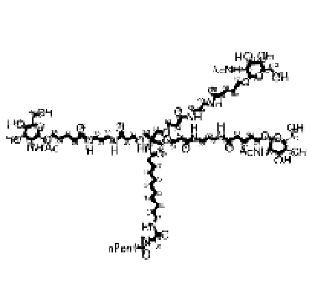 CCCCCC(=O)N[C@@H](C)C(=O)NCCCCCCCCCCC(=O)NC(COCCC(=O)NCCCNC(=O)CCCCO[C@@H]1O[C@H](CO)[C@H](O)[C@H](O)[C@H]1NC(C)=O)(COCCC(=O)NCCCNC(=O)CCCCO[C@@H]1O[C@H](CO)[C@H](O)[C@H](O)[C@H]1NC(C)=O)COCCC(=O)NCCCNC(=O)CCCCO[C@@H]1O[C@H](CO)[C@H](O)[C@H](O)[C@H]1NC(C)=O